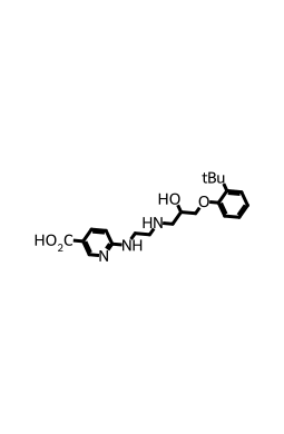 CC(C)(C)c1ccccc1OCC(O)CNCCNc1ccc(C(=O)O)cn1